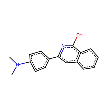 CN(C)c1ccc(-c2cc3ccccc3c(O)n2)cc1